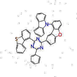 c1ccc(-c2nc(-c3ccc4oc5cccc(-n6c7ccccc7c7ccccc76)c5c4c3)nc(-c3cccc4sc5ccccc5c34)n2)cc1